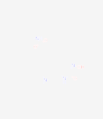 CN1CCc2c(-c3ccc(S(=O)(=O)Nc4ccccc4)cc3)cc3c(c2C1)NC(=O)/C3=N\O